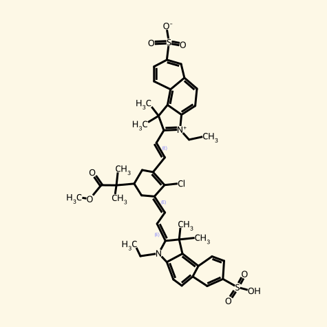 CCN1/C(=C/C=C2\CC(C(C)(C)C(=O)OC)CC(/C=C/C3=[N+](CC)c4ccc5cc(S(=O)(=O)[O-])ccc5c4C3(C)C)=C2Cl)C(C)(C)c2c1ccc1cc(S(=O)(=O)O)ccc21